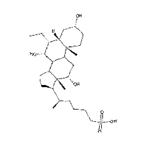 CC[C@H]1[C@@H](O)C2C3CC[C@H]([C@H](C)CCCCS(=O)(=O)O)[C@@]3(C)[C@@H](O)CC2[C@@]2(C)CC[C@@H](O)C[C@@H]12